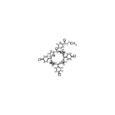 CCCC(=O)c1ccc(Oc2c3nc(c(-c4ccc(Cl)cc4)c4ccc([nH]4)c(-c4ccc(Cl)cc4)c4nc(c(-c5ccc(Cl)cc5)c5ccc2[nH]5)C=C4)C=C3)cc1